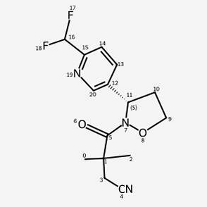 CC(C)(CC#N)C(=O)N1OCC[C@H]1c1ccc(C(F)F)nc1